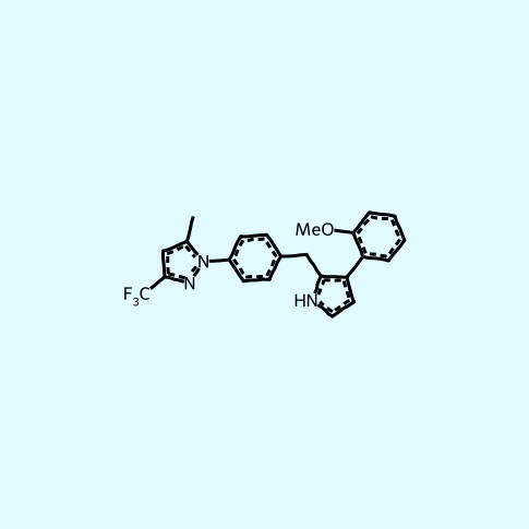 COc1ccccc1-c1cc[nH]c1Cc1ccc(-n2nc(C(F)(F)F)cc2C)cc1